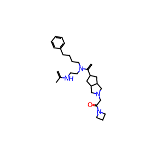 C=C(C)NCCN(CCCCc1ccccc1)C(=C)C1CC2CN(CC(=O)N3CCC3)CC2C1